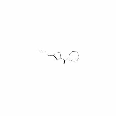 COCC1=CC(C(=O)N2CCCCCC2)CS1